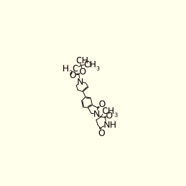 CC(C)(C)OC(=O)N1CC=C(c2ccc3c(c2)C(=O)N(C2(C)CCC(=O)NC2=O)C3)CC1